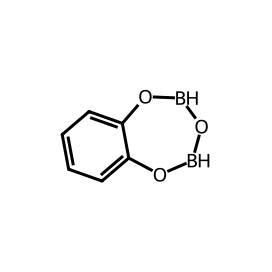 B1OBOc2ccccc2O1